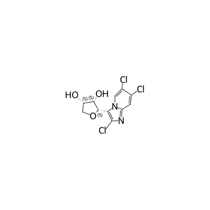 O[C@H]1[C@@H](O)CO[C@H]1c1c(Cl)nc2cc(Cl)c(Cl)cn12